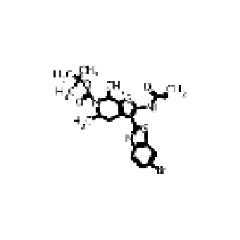 C=CC(=O)Nc1sc2c(c1-c1nc3ccc(Br)cc3s1)CC(C)N(C(=O)OC(C)(C)C)C2C